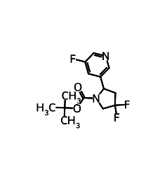 CC(C)(C)OC(=O)N1CC(F)(F)CC1c1cncc(F)c1